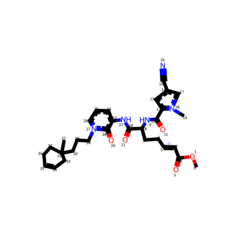 COC(=O)/C=C/CCC(NC(=O)c1cc(C#N)cn1C)C(=O)Nc1cccn(CCCC2(C)CC=CCC2)c1=O